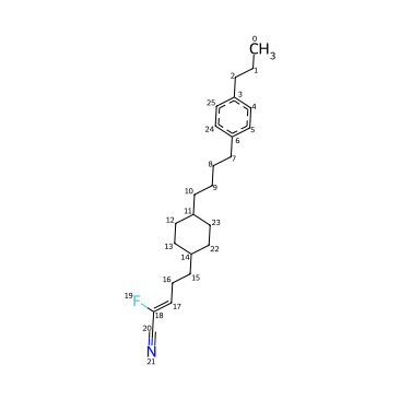 CCCc1ccc(CCCCC2CCC(CCC=C(F)C#N)CC2)cc1